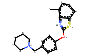 Cc1cccc2sc(Oc3ccc(CN4CCCCC4)cc3)nc12